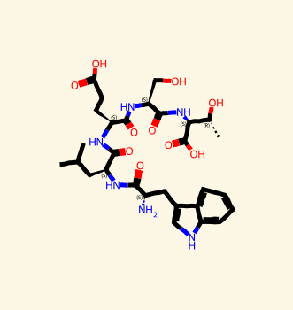 CC(C)C[C@H](NC(=O)[C@@H](N)Cc1c[nH]c2ccccc12)C(=O)N[C@@H](CCC(=O)O)C(=O)N[C@@H](CO)C(=O)N[C@H](C(=O)O)[C@@H](C)O